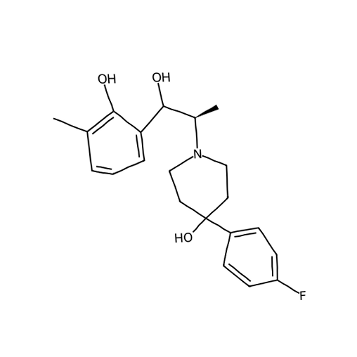 Cc1cccc(C(O)[C@@H](C)N2CCC(O)(c3ccc(F)cc3)CC2)c1O